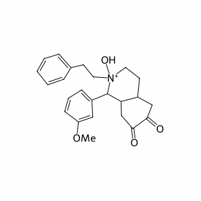 COc1cccc(C2C3CC(=O)C(=O)CC3CC[N+]2(O)CCc2ccccc2)c1